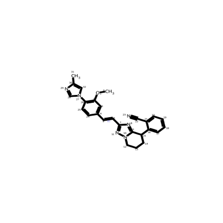 COc1cc(/C=C/c2nc3n(n2)CCCC3c2ccccc2C#N)ccc1-n1cnc(C)c1